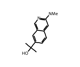 CNc1cc2ccc(C(C)(C)O)cc2cn1